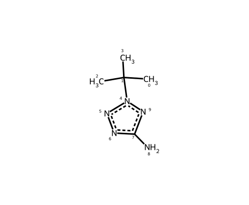 CC(C)(C)n1nnc(N)n1